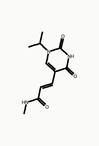 CNC(=O)/C=C/c1cn(C(C)C)c(=O)[nH]c1=O